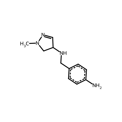 CN1CC(NCc2ccc(N)cc2)C=N1